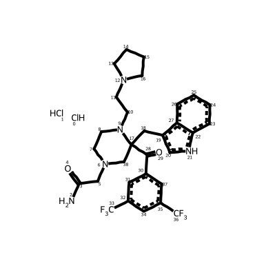 Cl.Cl.NC(=O)CN1CCN(CCN2CCCC2)C(Cc2c[nH]c3ccccc23)(C(=O)c2cc(C(F)(F)F)cc(C(F)(F)F)c2)C1